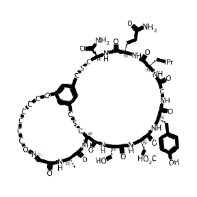 CC(C)C[C@@H]1NC(=O)CNC(=O)[C@H](Cc2ccc(O)cc2)NC(=O)[C@H](CC(=O)O)NC(=O)[C@H](CO)NC(=O)[C@@H]2CSCc3cc(cc(c3)OCCCCCCO/N=C/C(=O)N[C@@H](C)C(=O)N2)CSC[C@@H](C(N)=O)NC(=O)[C@H](CCC(N)=O)NC1=O